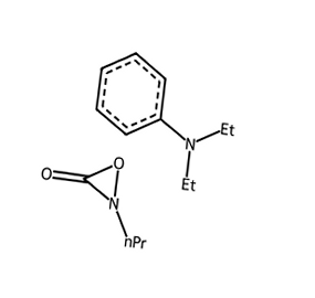 CCCN1OC1=O.CCN(CC)c1ccccc1